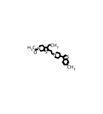 CCc1c(CCN2CCC(c3csc4cc(C)ccc34)CC2)sc2c1CCN(C(C)=O)C2